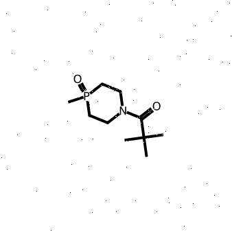 CC(C)(C)C(=O)N1CCP(C)(=O)CC1